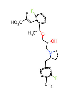 CCC(=Cc1c(F)cccc1[C@@H](C)OC[C@H](O)CN1CCC[C@H]1Cc1ccc(C)c(F)c1)C(=O)O